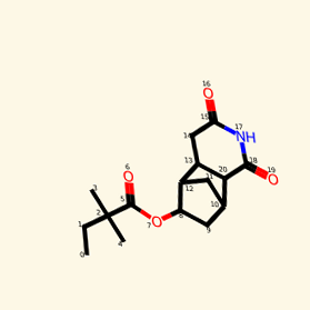 CCC(C)(C)C(=O)OC1CC2CC1C1CC(=O)NC(=O)C21